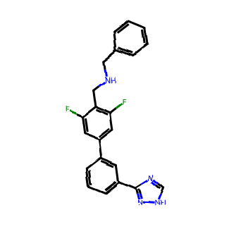 Fc1cc(-c2cccc(-c3nc[nH]n3)c2)cc(F)c1CNCc1ccccc1